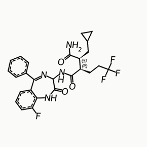 NC(=O)[C@@H](CC1CC1)[C@@H](CCC(F)(F)F)C(=O)NC1N=C(c2ccccc2)c2cccc(F)c2NC1=O